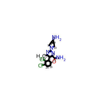 Cc1nc(N2CC3C(N)C3C2)nc(C(N)=O)c1-c1cccc(Cl)c1Cl